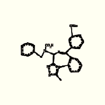 COc1cccc(C2=NC(N(Cc3ccccc3)C(=O)O)c3nnc(C)n3-c3ccccc32)c1